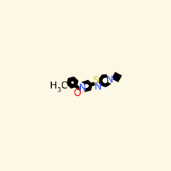 Cc1cccc(C(=O)N2CCC(c3nc4c(s3)CCN(C3=CC=C3)CC4)CC2)c1